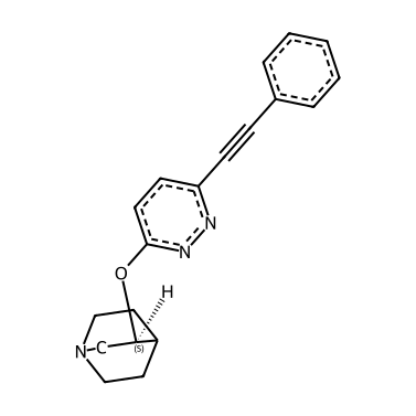 C(#Cc1ccc(O[C@@H]2CN3CCC2CC3)nn1)c1ccccc1